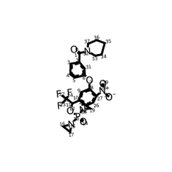 O=C(c1cccc(Oc2cc(C(OP(=O)(N3CC3)N3CC3)C(F)(F)F)ccc2[N+](=O)[O-])c1)N1CCCCC1